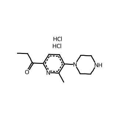 CCC(=O)c1ccc(N2CCNCC2)c(C)n1.Cl.Cl